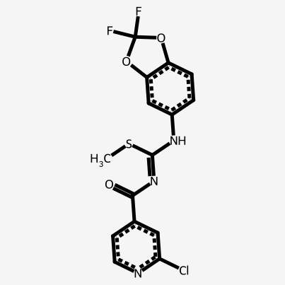 CSC(=NC(=O)c1ccnc(Cl)c1)Nc1ccc2c(c1)OC(F)(F)O2